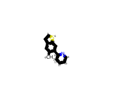 Cc1cc2ccsc2cc1-c1ccccn1